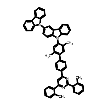 Cc1cc(-n2c3ccccc3c3cc(-n4c5ccccc5c5ccccc54)ccc32)c(C)cc1-c1ccc(-c2cc(-c3ccccc3C)nc(-c3ccccc3C)n2)cc1